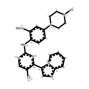 COc1cc(N2CCN(C(C)=O)CC2)ccc1Nc1ncc(C(F)(F)F)c(-c2cnc3ccccn23)n1